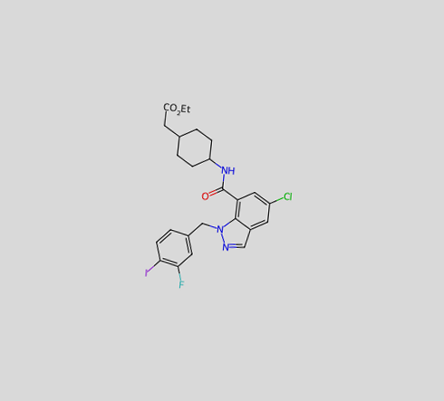 CCOC(=O)CC1CCC(NC(=O)c2cc(Cl)cc3cnn(Cc4ccc(I)c(F)c4)c23)CC1